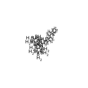 Bc1c(B)c(B)c(-c2nc(-c3ccc4c(c3)oc3c(-c5cccc6c5sc5ccccc56)cccc34)nc(-c3c(B)c(B)c(B)c(B)c3B)n2)c(B)c1B